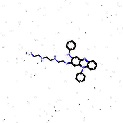 NCCNCCNCC/N=c1/cc2n(-c3ccccc3)c3ccccc3nc-2cc1Nc1ccccc1